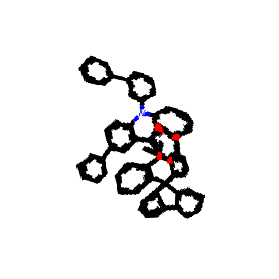 CC1(C)c2ccccc2C2(c3ccccc3-c3ccccc32)c2cccc(-c3cccc(N(c4cccc(-c5ccccc5)c4)c4ccc(-c5ccccc5)cc4-c4ccccc4)c3)c21